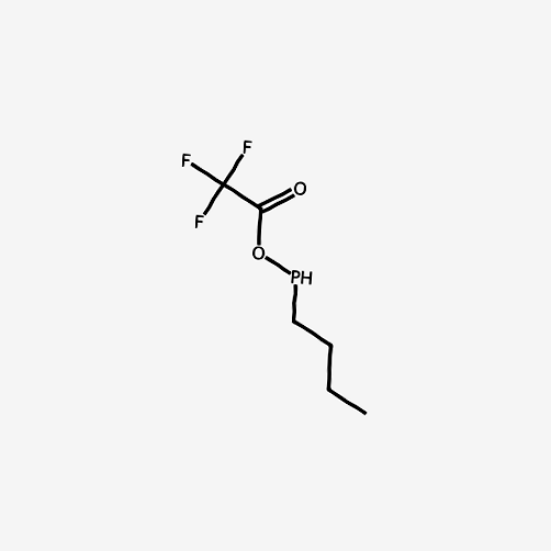 CCCCPOC(=O)C(F)(F)F